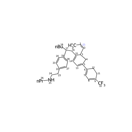 C/C=C\C1CC(C2=CC=C(C(F)(F)F)CC2)=CC=C1CC(CCCC)c1ccc(CCNCCC)cc1